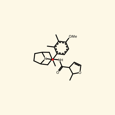 COc1ccc(C(C)N2C3CCC2CC(NC(=O)C2C=COC2C)C3)c(C)c1C